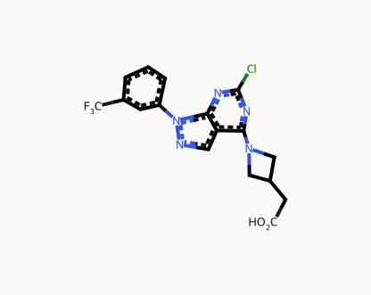 O=C(O)CC1CN(c2nc(Cl)nc3c2cnn3-c2cccc(C(F)(F)F)c2)C1